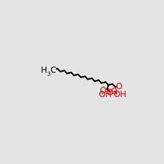 CCCCCCCCCCCCCCCCC(CC(=O)OO)C(=O)OO